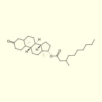 CCCCCCCC(C)CC(=O)O[C@H]1CC[C@H]2[C@@H]3CCC4CC(=O)CC[C@]4(C)[C@H]3CC[C@]12C